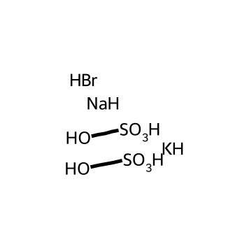 Br.O=S(=O)(O)O.O=S(=O)(O)O.[KH].[NaH]